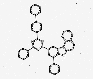 c1ccc(-c2ccc(-c3nc(-c4ccccc4)nc(-c4cc(-c5ccccc5)c5oc6ccc7ccccc7c6c5c4)n3)cc2)cc1